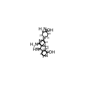 N=C(c1ccnc(O)c1Cl)c1ncc(N2CCC(N)(O)CC2)nc1N